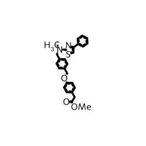 COC(=O)Cc1ccc(OCc2ccc(CN(C)c3nc(-c4ccccc4)cs3)cc2)cc1